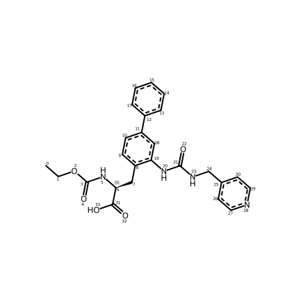 CCOC(=O)N[C@@H](Cc1ccc(-c2ccccc2)cc1NC(=O)NCc1ccncc1)C(=O)O